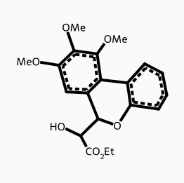 CCOC(=O)C(O)C1Oc2ccccc2-c2c1cc(OC)c(OC)c2OC